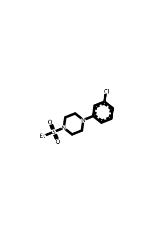 CCS(=O)(=O)N1CCN(c2cccc(Cl)c2)CC1